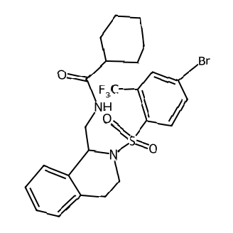 O=C(NCC1c2ccccc2CCN1S(=O)(=O)c1ccc(Br)cc1C(F)(F)F)C1CCCCC1